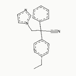 CCc1ccc(C(C#N)(Cn2ccnc2)c2ccccc2)cc1